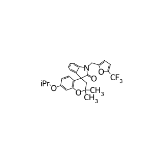 CC(C)Oc1ccc2c(c1)OC(C)(C)CC21C(=O)N(Cc2ccc(C(F)(F)F)o2)c2ccccc21